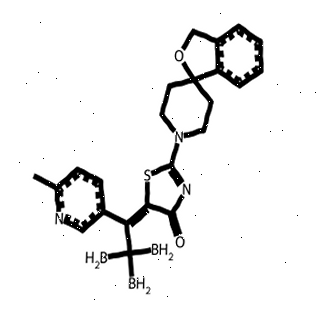 BC(B)(B)/C(=C1/SC(N2CCC3(CC2)OCc2ccccc23)=NC1=O)c1ccc(C)nc1